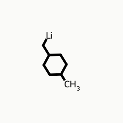 [Li][CH2]C1CCC(C)CC1